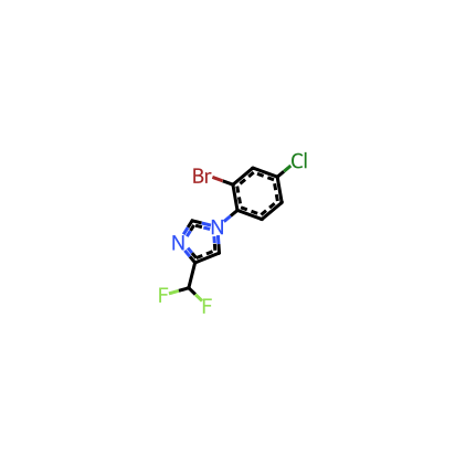 FC(F)c1cn(-c2ccc(Cl)cc2Br)cn1